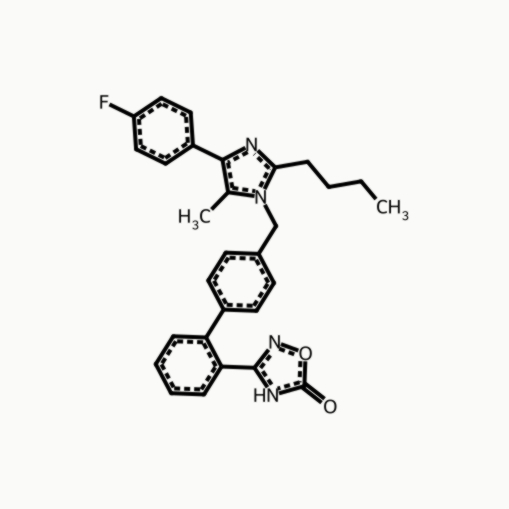 CCCCc1nc(-c2ccc(F)cc2)c(C)n1Cc1ccc(-c2ccccc2-c2noc(=O)[nH]2)cc1